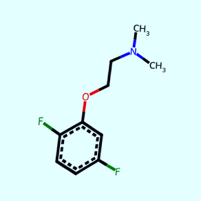 CN(C)CCOc1cc(F)ccc1F